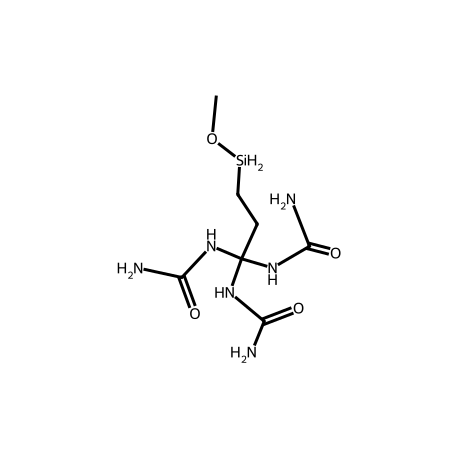 CO[SiH2]CCC(NC(N)=O)(NC(N)=O)NC(N)=O